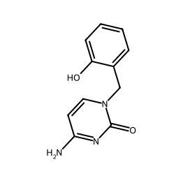 Nc1ccn(Cc2ccccc2O)c(=O)n1